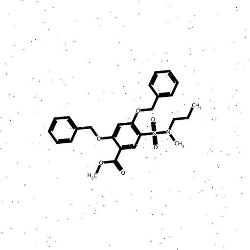 CCCN(C)S(=O)(=O)c1cc(C(=O)OC)c(OCc2ccccc2)cc1OCc1ccccc1